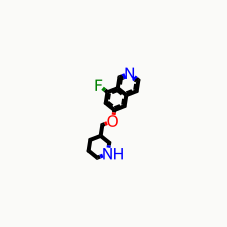 Fc1cc(OCC2CCCNC2)cc2ccncc12